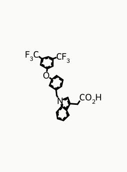 O=C(O)Cc1cn(Cc2cccc(Oc3cc(C(F)(F)F)cc(C(F)(F)F)c3)c2)c2ccccc12